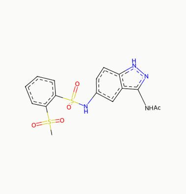 CC(=O)Nc1n[nH]c2ccc(NS(=O)(=O)c3ccccc3S(C)(=O)=O)cc12